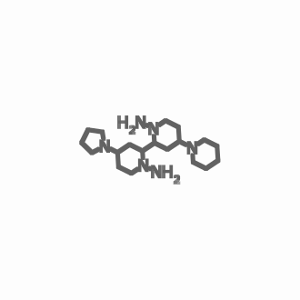 NN1CCC(N2CCCCC2)CC1C1CC(N2CCCC2)CCN1N